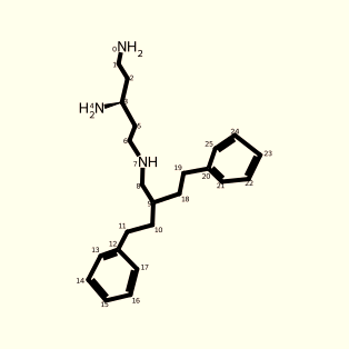 NCC[C@H](N)CCNCC(CCc1ccccc1)CCc1ccccc1